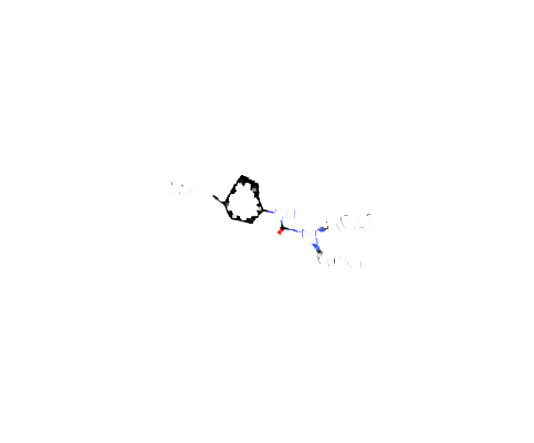 CCCCCCCCN(CCCCCCCC)C(=O)Nc1ccc(OC)cc1